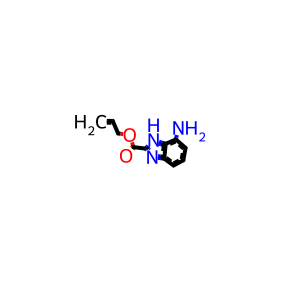 C=CCOC(=O)c1nc2cccc(N)c2[nH]1